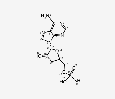 Nc1ncnc2c1ncn2[C@@H]1OC(COP(=O)(O)S)C[C@H]1O